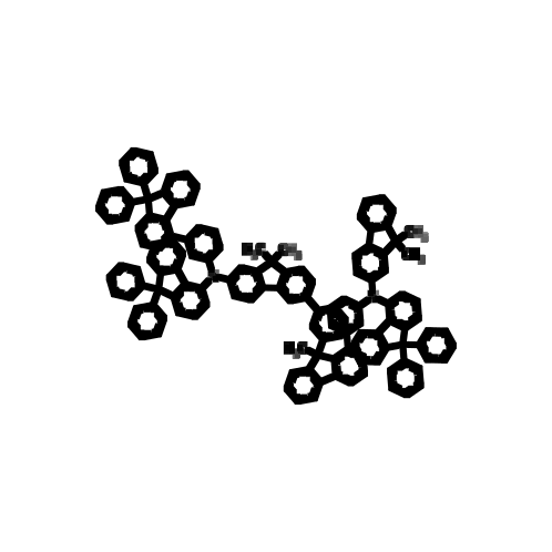 CC1(C)c2ccccc2-c2ccc(N(c3cccc(-c4cccc5c4C(C)(c4cccc(-c6ccc7c(c6)-c6ccc(N(c8cccc(-c9cccc%10c9-c9ccccc9C%10(c9ccccc9)c9ccccc9)c8)c8cccc9c8-c8ccccc8C9(c8ccccc8)c8ccccc8)cc6C7(C)C)c4)c4ccccc4-5)c3)c3cccc4c3-c3ccccc3C4(c3ccccc3)c3ccccc3)cc21